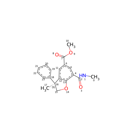 CNC(=O)c1cc(C(=O)OC)cc2c1OC[C@@]2(C)c1ccccc1